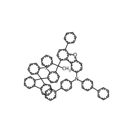 CC(c1ccccc1)(c1cccc2c1Sc1ccccc1C21c2ccccc2-c2ccccc21)c1ccc(-c2ccccc2)c2oc3ccc(N(c4ccc(-c5ccccc5)cc4)c4ccc(-c5ccccc5)cc4)cc3c12